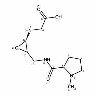 CN1CCCC1C(=O)NCC1O[C@H]1NCC(=O)O